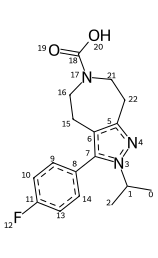 CC(C)n1nc2c(c1-c1ccc(F)cc1)CCN(C(=O)O)CC2